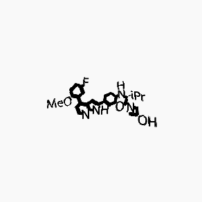 COc1ccc(F)cc1-c1ccnc2[nH]c(C3=CCC(N[C@@H](C(=O)N4CC(O)C4)C(C)C)CC3)cc12